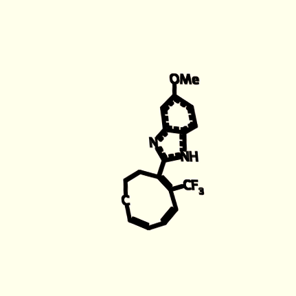 COc1ccc2[nH]c(/C3=C(C(F)(F)F)/C=C\C=C/CCC3)nc2c1